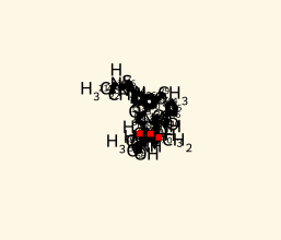 C=C[C@@H]1C[C@]1(NC(=O)[C@@H]1C[C@@H](Oc2cc(-c3csc(NC(C)C)n3)nc3cc(OC)ccc23)CN1C(=O)[C@@H](NC(=O)OC1CCCC1)C(C)(C)C)C(=O)NP(=O)(O)OC